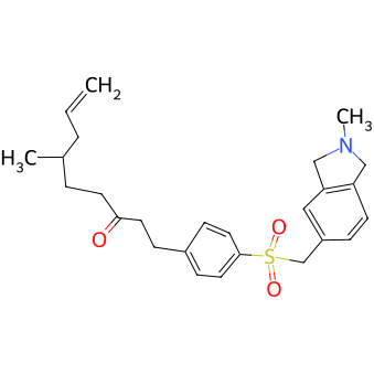 C=CCC(C)CCC(=O)CCc1ccc(S(=O)(=O)Cc2ccc3c(c2)CN(C)C3)cc1